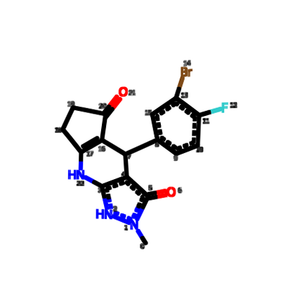 Cn1[nH]c2c(c1=O)C(c1ccc(F)c(Br)c1)C1=C(CCC1=O)N2